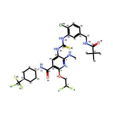 CNc1nc(OCC(F)F)c(C(=O)N[C@H]2CC[C@H](C(F)(F)F)CC2)cc1NC(=S)Nc1cc(CNC(=O)C(C)(C)C)ccc1Cl